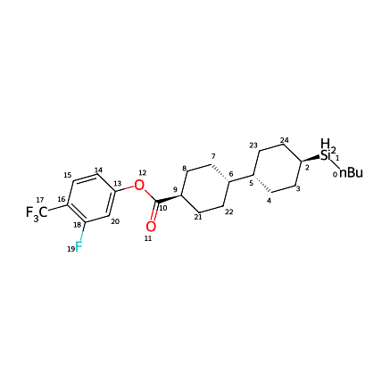 CCCC[SiH2][C@H]1CC[C@H]([C@H]2CC[C@H](C(=O)Oc3ccc(C(F)(F)F)c(F)c3)CC2)CC1